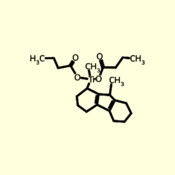 CCCC(=O)[O][Ti]([CH3])([O]C(=O)CCC)[CH]1CCCC2=C1C(C)C1=C2CCCC1